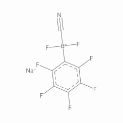 N#C[B-](F)(F)c1c(F)c(F)c(F)c(F)c1F.[Na+]